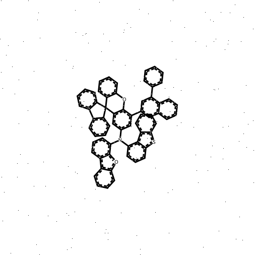 c1ccc(-c2cc(-c3cc(N(c4cccc5c4oc4ccccc45)c4cccc5sc6ccccc6c45)cc4c3Oc3ccccc3C43c4ccccc4-c4ccccc43)cc3ccccc23)cc1